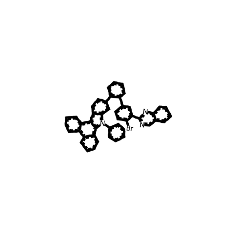 Brc1ccc(-c2ccccc2-c2ccc3c4c5ccccc5c5ccccc5c4n(-c4ccccc4)c3c2)cc1-c1ncc2ccccc2n1